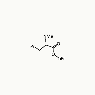 CCCOC(=O)[C@H](CC(C)C)NC